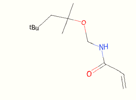 C=CC(=O)NCOC(C)(C)CC(C)(C)C